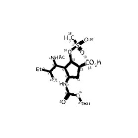 CCC(CC)C(NC(C)=O)C1C(NC(=O)OC(C)(C)C)CC(C(=O)O)C1OS(C)(=O)=O